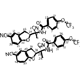 C[C@@](C#N)(NC(=O)c1ccc(OC(F)(F)F)cc1)[C@@H]1Cc2cc(C#N)ccc2O1.C[C@](C#N)(NC(=O)c1ccc(OC(F)(F)F)cc1)[C@@H]1Cc2cc(C#N)ccc2O1